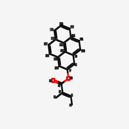 CC=C(C)C(=O)Oc1cc2ccc3cccc4ccc(c1)c2c34